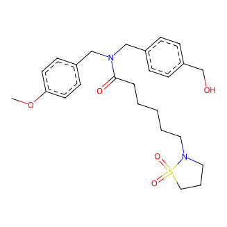 COc1ccc(CN(Cc2ccc(CO)cc2)C(=O)CCCCCN2CCCS2(=O)=O)cc1